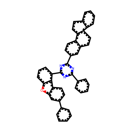 c1ccc(-c2ccc3c(c2)oc2cccc(-c4nc(-c5ccccc5)nc(-c5ccc6c(ccc7c8ccccc8ccc67)c5)n4)c23)cc1